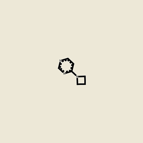 [c]1nccc(N2CCC2)n1